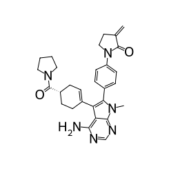 C=C1CCN(c2ccc(-c3c(C4=CC[C@@H](C(=O)N5CCCC5)CC4)c4c(N)ncnc4n3C)cc2)C1=O